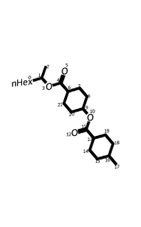 CCCCCCC(C)OC(=O)C1CCC(OC(=O)C2CCC(C)CC2)CC1